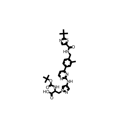 Cc1cc(-c2ccnc(Nc3cnn(CC(NC(=O)OC(C)(C)C)C(=O)O)c3)n2)ccc1CNC(=O)c1cnc(C(C)(C)C)s1